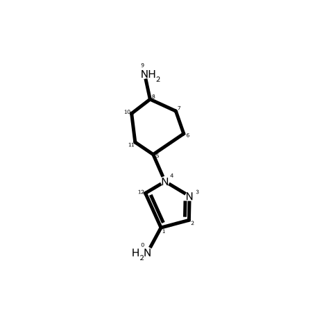 Nc1cnn(C2CCC(N)CC2)c1